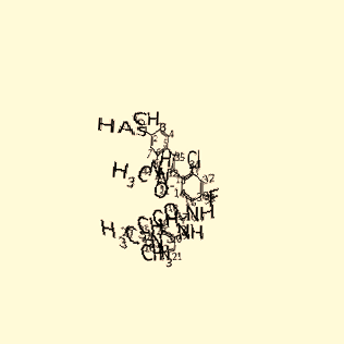 C[AsH]c1ccc2c(c1)N(C)[NH+]([O-])C(c1cc(NC(=O)Nc3cnn(C(C)(C)C)c3C)c(F)cc1Cl)=C2